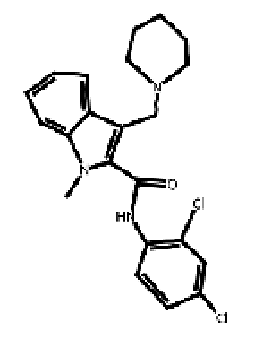 Cn1c(C(=O)Nc2ccc(Cl)cc2Cl)c(CN2CCCCC2)c2ccccc21